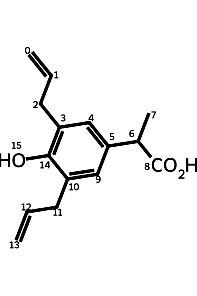 C=CCc1cc(C(C)C(=O)O)cc(CC=C)c1O